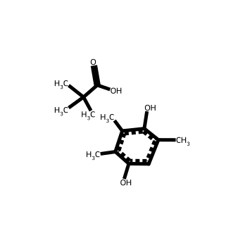 CC(C)(C)C(=O)O.Cc1cc(O)c(C)c(C)c1O